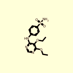 CCOc1ncnc(Nc2ccc(S(N)(=O)=O)cc2)c1OCC